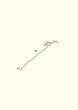 CCCCCCCCCCCCCCCCCCCC(CCCC)C(=O)O.[Ni]